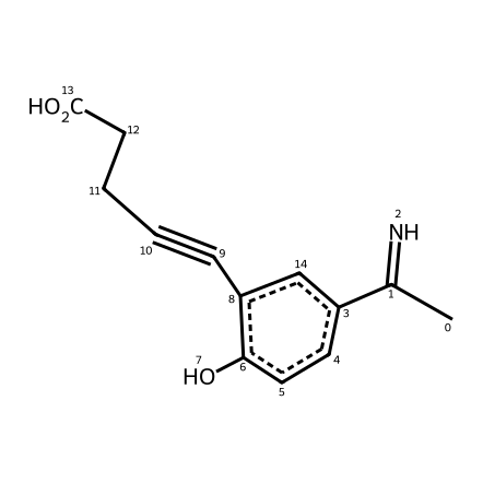 CC(=N)c1ccc(O)c(C#CCCC(=O)O)c1